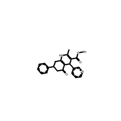 CC1=C(C(=O)OC(C)C)C(c2cccnc2)C2=C(CC(c3ccccc3)CC2=O)N1